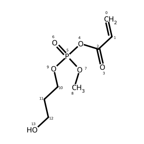 C=CC(=O)OP(=O)(OC)OCCCO